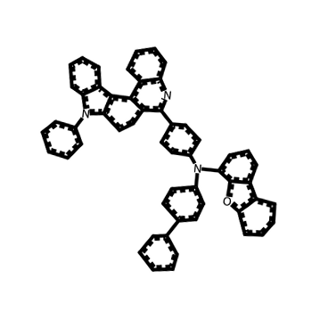 c1ccc(-c2ccc(N(c3ccc(-c4nc5ccccc5c5c4ccc4c5c5ccccc5n4-c4ccccc4)cc3)c3cccc4c3oc3ccccc34)cc2)cc1